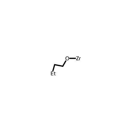 CCCC[O][Zr]